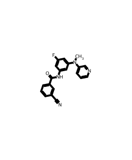 CN(c1cccnc1)c1cc(F)cc(NC(=O)c2cccc(C#N)c2)c1